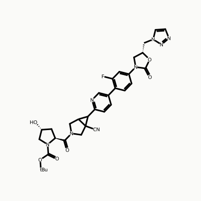 CC(C)(C)OC(=O)N1C[C@H](O)C[C@H]1C(=O)N1CC2C(c3ccc(-c4ccc(N5C[C@H](Cn6ccnn6)OC5=O)cc4F)cn3)C2(C#N)C1